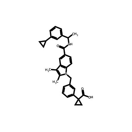 Cc1c(C)n(Cc2cccc(C3(C(=O)O)CC3)c2)c2ccc(C(=O)NC(C)c3cccc(C4CC4)c3)cc12